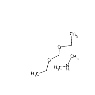 CCOCOCC.CNC